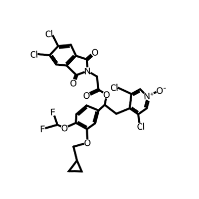 O=C(CN1C(=O)c2cc(Cl)c(Cl)cc2C1=O)OC(Cc1c(Cl)c[n+]([O-])cc1Cl)c1ccc(OC(F)F)c(OCC2CC2)c1